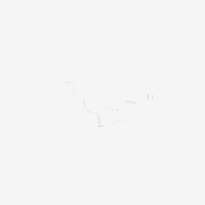 CC=Cc1cccc(OCCOC)c1